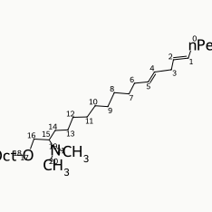 CCCCCC=CCC=CCCCCCCCCCC(COCCCCCCCC)N(C)C